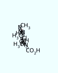 Cc1c(Nc2nccc3cc(CN4CCC(C)C4)cnc23)cccc1-c1cccc(NC(=O)c2nc3c(n2C)CCN(C[C@H]2CC[C@@H](C(=O)O)CC2)C3)c1Cl